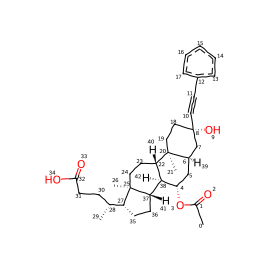 CC(=O)O[C@H]1C[C@@H]2C[C@](O)(C#Cc3ccccc3)CC[C@]2(C)[C@H]2CC[C@]3(C)[C@@H]([C@H](C)CCC(=O)O)CC[C@H]3[C@H]12